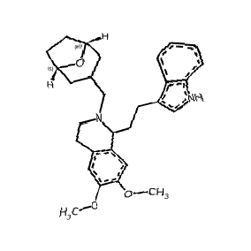 COc1cc2c(cc1OC)C(CCc1c[nH]c3ccccc13)N(CC1C[C@H]3CC[C@@H](C1)O3)CC2